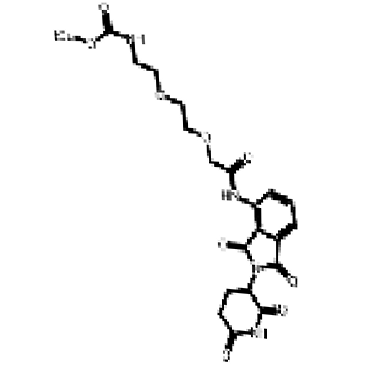 CC(C)(C)OC(=O)NCCOCCOCC(=O)Nc1cccc2c1C(=O)N(C1CCC(=O)NC1=O)C2=O